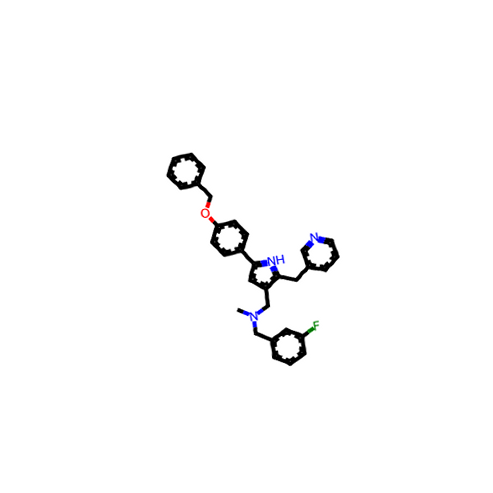 CN(Cc1cccc(F)c1)Cc1cc(-c2ccc(OCc3ccccc3)cc2)[nH]c1Cc1cccnc1